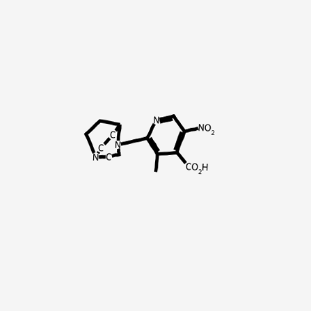 Cc1c(N2CCN3CCC2CC3)ncc([N+](=O)[O-])c1C(=O)O